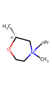 CCC[N+]1(C)CCO[C@H](C)C1